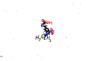 CC(C)n1cc([N+](=O)[O-])c2cc(-c3ncc(C(=O)O)s3)ccc21